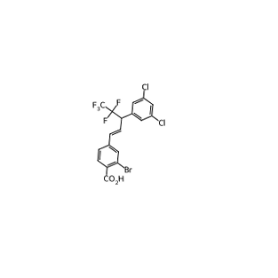 O=C(O)c1ccc(C=CC(c2cc(Cl)cc(Cl)c2)C(F)(F)C(F)(F)F)cc1Br